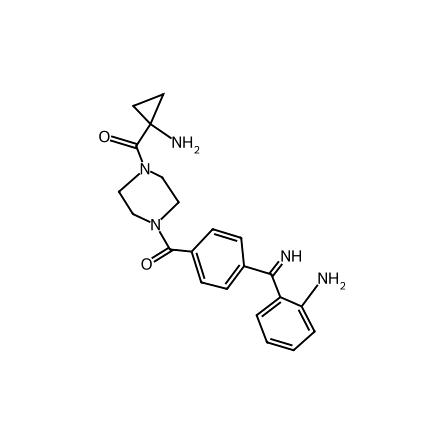 N=C(c1ccc(C(=O)N2CCN(C(=O)C3(N)CC3)CC2)cc1)c1ccccc1N